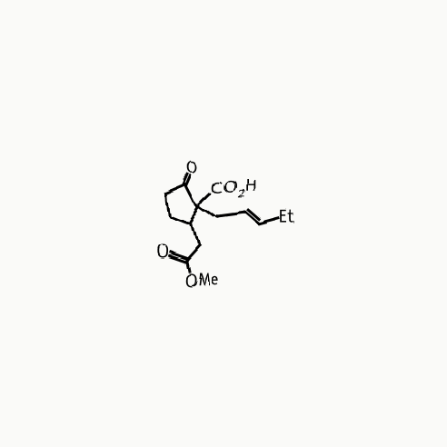 CCC=CCC1(C(=O)O)C(=O)CCC1CC(=O)OC